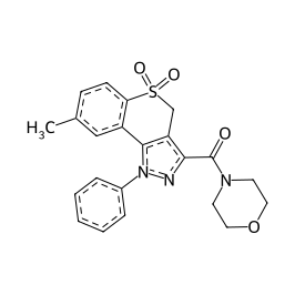 Cc1ccc2c(c1)-c1c(c(C(=O)N3CCOCC3)nn1-c1ccccc1)CS2(=O)=O